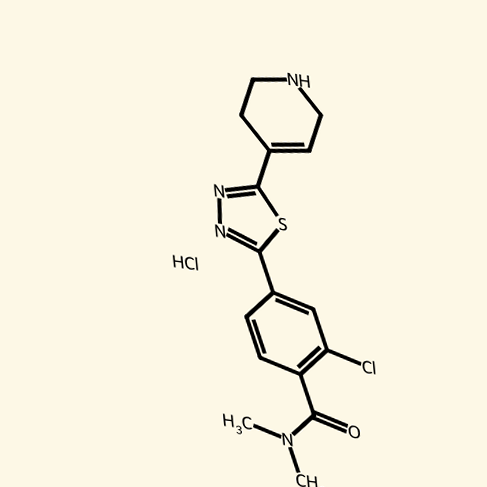 CN(C)C(=O)c1ccc(-c2nnc(C3=CCNCC3)s2)cc1Cl.Cl